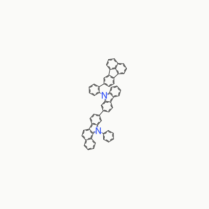 c1ccc(-n2c3cc(-c4ccc5c6ccccc6n(-c6ccccc6-c6ccc7c(c6)-c6cccc8cccc-7c68)c5c4)ccc3c3ccc4ccccc4c32)cc1